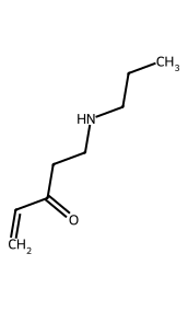 C=CC(=O)CCNCCC